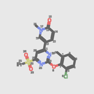 Cc1cccc(Cl)c1Oc1nc(-c2ccc(=O)n(C)c2)cc(S(=O)(=O)C(C)C)n1